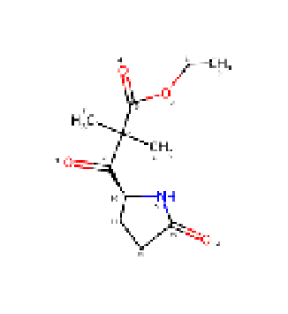 CCOC(=O)C(C)(C)C(=O)[C@@H]1CCC(=O)N1